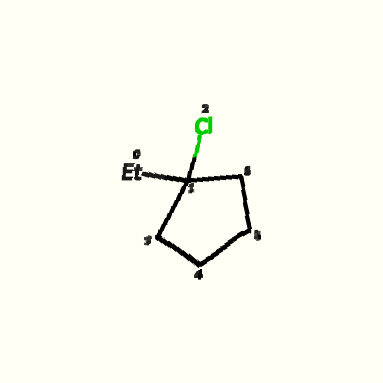 CCC1(Cl)CCCC1